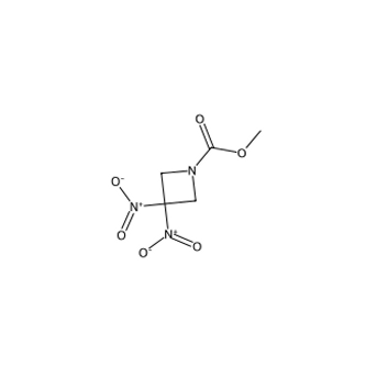 COC(=O)N1CC([N+](=O)[O-])([N+](=O)[O-])C1